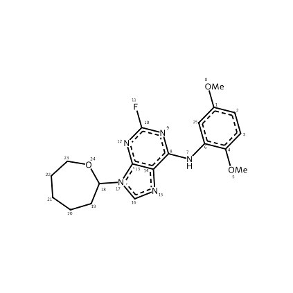 COc1ccc(OC)c(Nc2nc(F)nc3c2ncn3C2CCCCCO2)c1